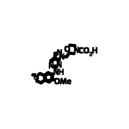 COc1cc2c(cc1Nc1ncc3cnn(CC4CN(C(=O)O)CCO4)c3n1)CN(C)CC2